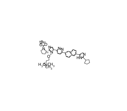 CC(C)(C)OC(=O)N1CCC[C@H]1c1ncc(-c2ccc(-c3ccc4cc(-c5cnc(C6CCCC6)[nH]5)ccc4c3)nn2)n1COCC[Si](C)(C)C